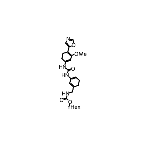 CCCCCCOC(=O)NCC1=CC(NC(=O)NC2=CC(OC)=C(c3cnco3)CC2)=CCC1